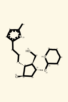 Cc1ccc(CCC[C@@H]2[C@@H](CO)[C@H](OC3CCCCO3)C[C@H]2Cl)s1